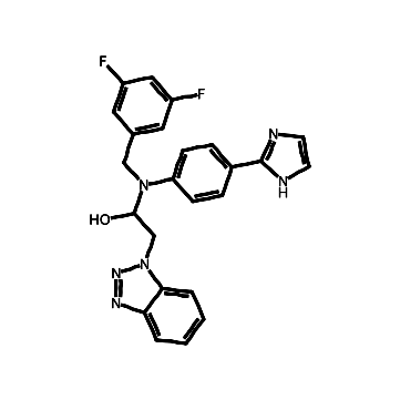 OC(Cn1nnc2ccccc21)N(Cc1cc(F)cc(F)c1)c1ccc(-c2ncc[nH]2)cc1